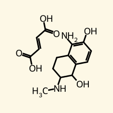 CNC1CCc2c(ccc(O)c2N)C1O.O=C(O)C=CC(=O)O